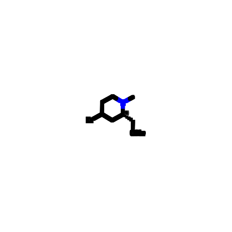 CCC1CCN(C)[C@H](COC)C1